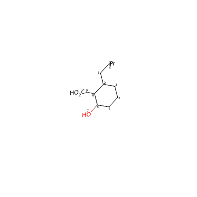 CC(C)CC1CCCC(O)C1C(=O)O